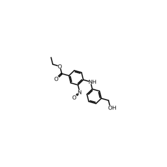 CCOC(=O)c1ccc(Nc2cccc(CO)c2)c(N=O)c1